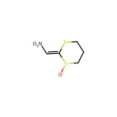 O=[N+]([O-])C=C1SCCC[S+]1[O-]